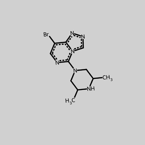 CC1CN(c2ncc(Br)c3nncn23)CC(C)N1